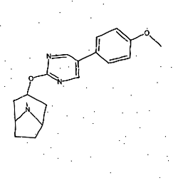 COc1ccc(-c2cnc(OC3CC4CCC(C3)N4C)nc2)cc1